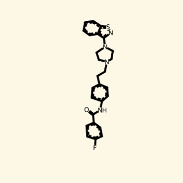 O=C(Nc1ccc(CCN2CCN(c3nsc4ccccc34)CC2)cc1)c1ccc(F)cc1